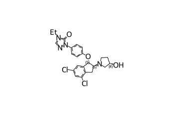 CCn1cnn(-c2ccc(O[C@H]3c4cc(Cl)cc(Cl)c4C[C@@H]3N3CC[C@@H](O)C3)cc2)c1=O